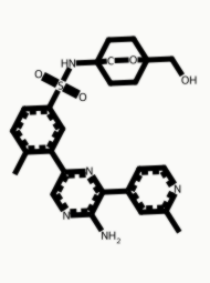 Cc1cc(-c2nc(-c3cc(S(=O)(=O)NC45CCC(CO)(CC4)OC5)ccc3C)cnc2N)ccn1